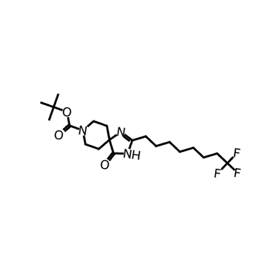 CC(C)(C)OC(=O)N1CCC2(CC1)N=C(CCCCCCCC(F)(F)F)NC2=O